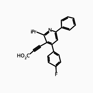 CC(C)c1nc(-c2ccccc2)cc(-c2ccc(F)cc2)c1C#CC(=O)O